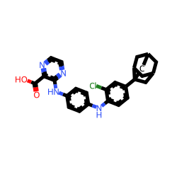 O=C(O)c1nccnc1Nc1ccc(Nc2ccc(C34CC5CC(CC3C5)C4)cc2Cl)cc1